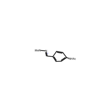 CN/N=C/c1ccc(NC(C)=O)cc1